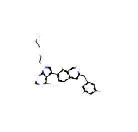 NCCOCCn1cc(-c2ccc3cc(Cc4cc(F)cc(F)c4)ncc3c2F)c2c(N)ncnc21